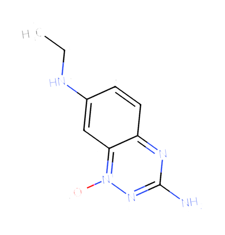 CCNc1ccc2nc(N)n[n+]([O-])c2c1